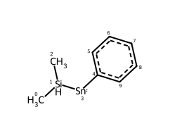 C[SiH](C)[Sn][c]1ccccc1